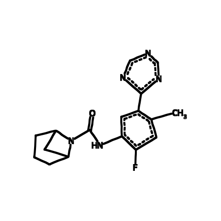 Cc1cc(F)c(NC(=O)N2C3CCCC2C3)cc1-c1ncncn1